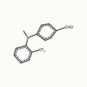 CN(c1ccc(C=O)cc1)c1ccccc1C(F)(F)F